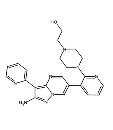 Nc1nn2cc(-c3cccnc3N3CCN(CCO)CC3)cnc2c1-c1ccccn1